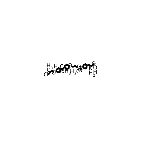 COB(OCCCOc1ccc(C(C)(C)c2ccc(OCC(C)CCl)cc2)cc1)c1ccc(C[C@H](N)C(=O)O)cc1